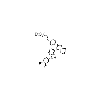 CCOC(=O)/C=C/c1cccc(-c2cnc(Nc3ccc(F)c(Cl)c3)nc2-n2ncc3ccccc32)c1